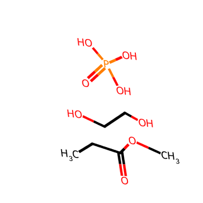 CCC(=O)OC.O=P(O)(O)O.OCCO